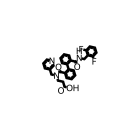 O=C(O)CCN(Cc1cccnc1)C(=O)c1ccccc1-c1ccccc1C(=O)NCc1c(F)cccc1F